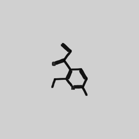 C=CC(=O)c1ccc(C)nc1CC